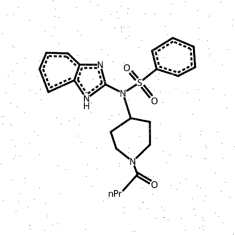 CCCC(=O)N1CCC(N(c2nc3ccccc3[nH]2)S(=O)(=O)c2ccccc2)CC1